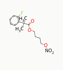 CC(C)(C(=O)OCCCCO[N+](=O)[O-])c1ccccc1F